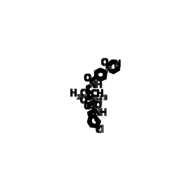 CC(C)(CNC(=O)c1ccc(-n2ccncc2=O)cc1)C(=O)NS(=O)(=O)c1cc2ccc(Cl)cc2[nH]1